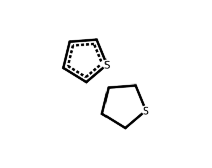 C1CCSC1.c1ccsc1